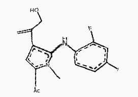 C=C(CO)c1cc(C(C)=O)n(C)c1Nc1ccc(I)cc1F